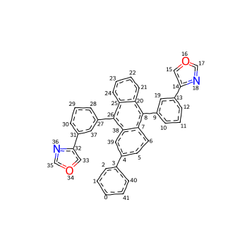 c1ccc(-c2ccc3c(-c4cccc(-c5cocn5)c4)c4ccccc4c(-c4cccc(-c5cocn5)c4)c3c2)cc1